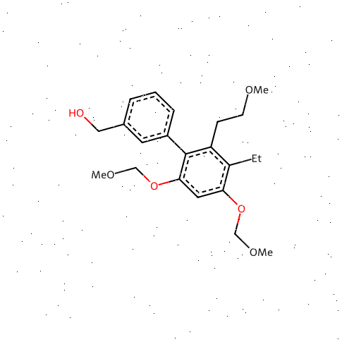 CCc1c(OCOC)cc(OCOC)c(-c2cccc(CO)c2)c1CCOC